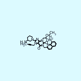 CC#CCn1c(N2CCCC(N)C2)nc2c1c(=O)n(Cc1ccc3cccc(N)c3n1)c(=O)n2CC(=O)OCC